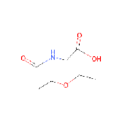 CCOCC.O=CNCC(=O)O